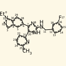 CCn1ncc2cc(-c3nc(NCc4cccc(F)c4)[nH]c3-c3cccc(C)n3)ccc21